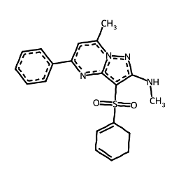 CNc1nn2c(C)cc(-c3ccccc3)nc2c1S(=O)(=O)C1=CC=CCC1